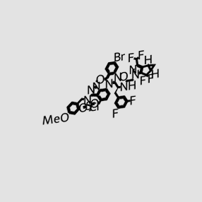 COc1ccc(CN(c2nn(C)c3c(-n4c([C@H](Cc5cc(F)cc(F)c5)NC(=O)Cn5nc(C(F)F)c6c5C(F)(F)[C@@H]5C[C@H]65)nc5cc(Br)ccc5c4=O)ccc(Cl)c23)S(C)(=O)=O)cc1